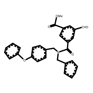 COC(=O)c1cc(C=O)cc(C(=O)N(Cc2ccccc2)Cc2ccc(Oc3ccccc3)cc2)c1